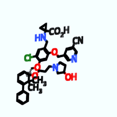 CC1(C)C(c2ccccc2)=CC=C[C@@]1(COc1cc(OCc2cncc(C#N)c2)c(CNC2(C(=O)O)CC2)cc1Cl)OCCCN1CCC(O)C1